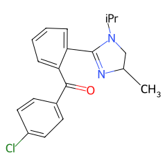 CC1CN(C(C)C)C(c2ccccc2C(=O)c2ccc(Cl)cc2)=N1